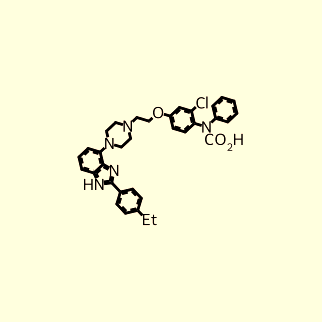 CCc1ccc(-c2nc3c(N4CCN(CCOc5ccc(N(C(=O)O)c6ccccc6)c(Cl)c5)CC4)cccc3[nH]2)cc1